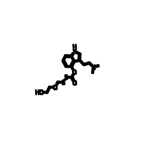 CN(C)CCc1c[nH]c2cccc(OC(=O)SSCOCCO)c12